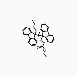 CCCCC1(C(C)(C)C2(CCC(=O)OCC)c3ccccc3-c3ccccc32)c2ccccc2-c2ccccc21